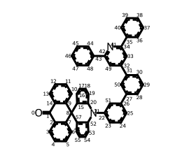 O=C1c2ccccc2C2(c3ccccc31)c1ccccc1N(c1cccc(-c3cccc(-c4cc(-c5ccccc5)nc(-c5ccccc5)c4)c3)c1)c1ccccc12